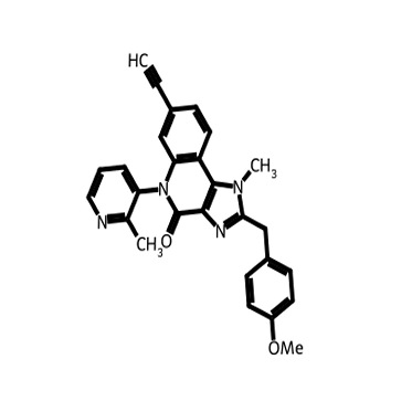 C#Cc1ccc2c3c(nc(Cc4ccc(OC)cc4)n3C)c(=O)n(-c3cccnc3C)c2c1